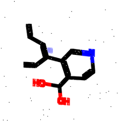 C=C/C=C(\C=C)c1cnccc1C(O)O